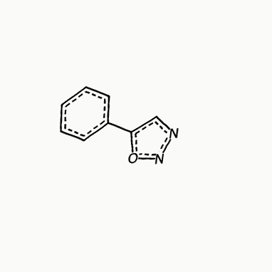 c1ccc(-c2cnno2)cc1